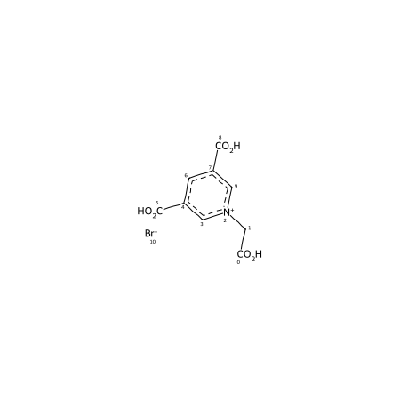 O=C(O)C[n+]1cc(C(=O)O)cc(C(=O)O)c1.[Br-]